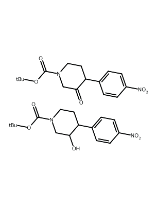 CC(C)(C)OC(=O)N1CCC(c2ccc([N+](=O)[O-])cc2)C(=O)C1.CC(C)(C)OC(=O)N1CCC(c2ccc([N+](=O)[O-])cc2)C(O)C1